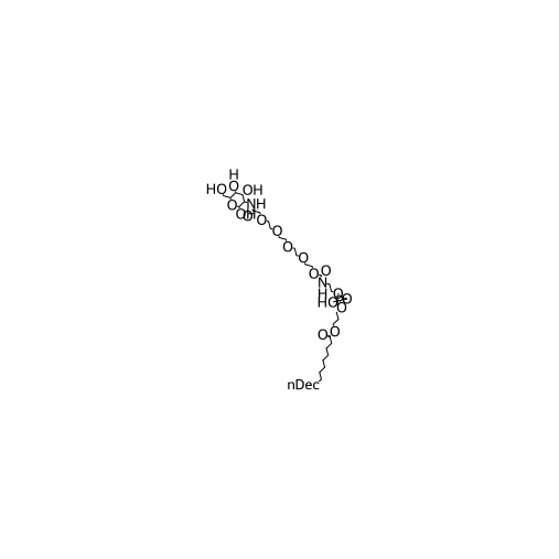 CCCCCCCCCCCCCCCCCC(=O)OCCCOP(=O)(O)OCCNC(=O)OCCOCCOCCOCCOCC(=O)NC1C(O)OC(CO)C(O)C1O